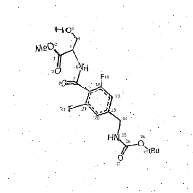 COC(=O)C(CO)NC(=O)c1c(F)cc(CNC(=O)OC(C)(C)C)cc1F